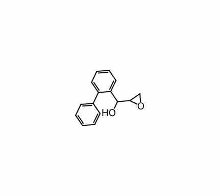 OC(c1ccccc1-c1ccccc1)C1CO1